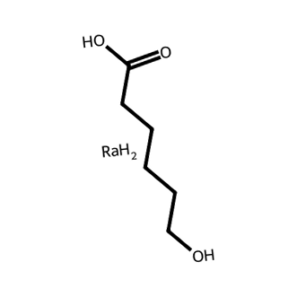 O=C(O)CCCCCO.[RaH2]